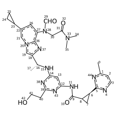 Cc1ccnc([C@H]2CC2C(=O)Nc2cc(N[C@H](C)c3cn4cc(C5CC5)cc(N(C=O)CC(=O)N(C)C)c4n3)nc(CCO)n2)n1